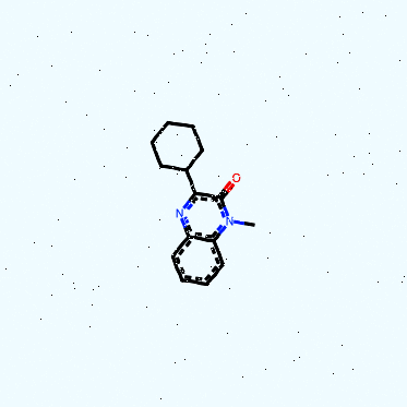 Cn1c(=O)c(C2CCCCC2)nc2ccccc21